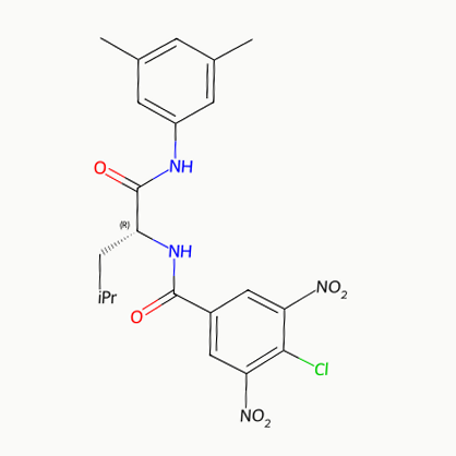 Cc1cc(C)cc(NC(=O)[C@@H](CC(C)C)NC(=O)c2cc([N+](=O)[O-])c(Cl)c([N+](=O)[O-])c2)c1